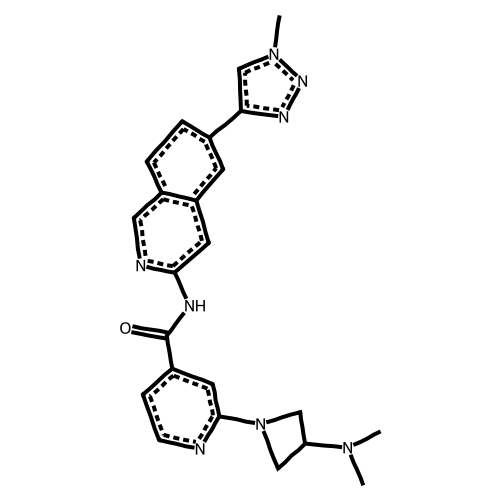 CN(C)C1CN(c2cc(C(=O)Nc3cc4cc(-c5cn(C)nn5)ccc4cn3)ccn2)C1